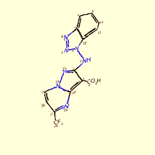 O=C(O)c1c(Nn2nnc3ccccc32)nn2ccc(C(F)(F)F)nc12